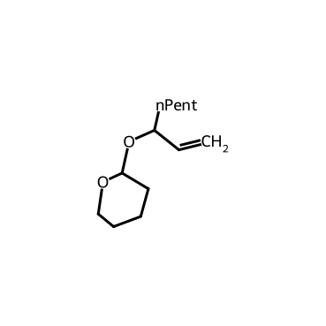 C=CC(CCCCC)OC1CCCCO1